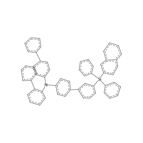 c1ccc(-c2ccc(N(c3ccc(-c4cccc([Si](c5ccccc5)(c5ccccc5)c5ccc6ccccc6c5)c4)cc3)c3ccccc3-c3ccccc3)cc2)cc1